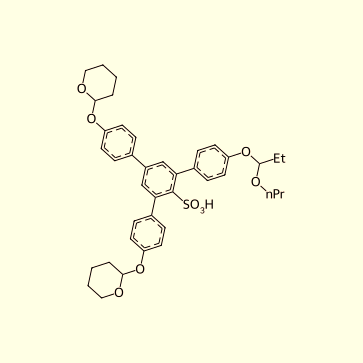 CCCOC(CC)Oc1ccc(-c2cc(-c3ccc(OC4CCCCO4)cc3)cc(-c3ccc(OC4CCCCO4)cc3)c2S(=O)(=O)O)cc1